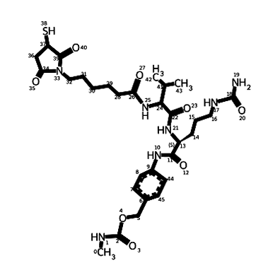 CNC(=O)OCc1ccc(NC(=O)[C@H](CCCNC(N)=O)NC(=O)C(NC(=O)CCCCCN2C(=O)CC(S)C2=O)C(C)C)cc1